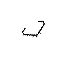 CCCCC/C=C\C/C=C\CCCCCCCCOC(=O)CCOCC(CO)OCCC(=O)OCCCCCCCC/C=C\C/C=C\CCCCC